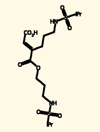 CC(C)S(=O)(=O)NCCCOC(=O)C(=CC(=O)O)CCCNS(=O)(=O)C(C)C